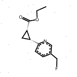 CCOC(=O)[C@H]1C[C@H]1c1ccc(CF)cn1